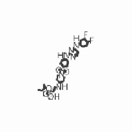 CCC(C)OP(=O)(O)CCNC1CCN(S(=O)(=O)c2ccc(Nc3nccc(Nc4ccc(F)c(F)c4)n3)cc2)CC1